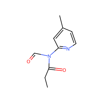 CCC(=O)N(C=O)c1cc(C)ccn1